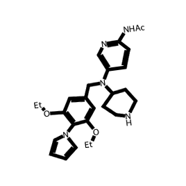 CCOc1cc(CN(c2ccc(NC(C)=O)nc2)C2CCNCC2)cc(OCC)c1-n1cccc1